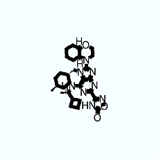 C[C@@H](Nc1nc(-c2noc(=O)[nH]2)nc2nc(N3CCO[C@H]4CCCC[C@H]43)n(C[C@H]3CC[C@H](C)CC3)c12)C1CCC1